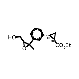 CCOC(=O)[C@@H]1C[C@H]1c1cccc(C2(C)OC2CO)c1